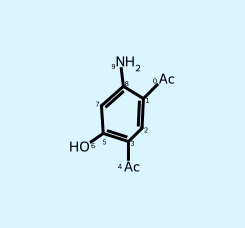 CC(=O)c1cc(C(C)=O)c(O)cc1N